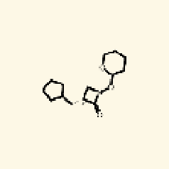 O=C1[C@H](CC2CCCC2)CN1OC1CCCCO1